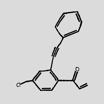 C=CC(=O)c1ccc(Cl)cc1C#Cc1ccccc1